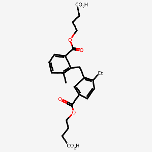 CCc1ccc(C(=O)OCCCC(=O)O)cc1Cc1c(C)cccc1C(=O)OCCCC(=O)O